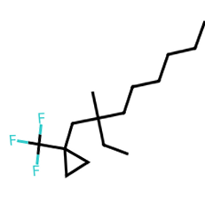 CCCCCCC(C)(CC)CC1(C(F)(F)F)CC1